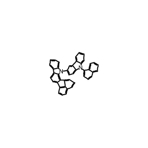 c1ccc2c(-n3c4ccccc4c4cc(-n5c6ccccc6c6ccc7c(c65)-c5cccc6cccc-7c56)ccc43)cccc2c1